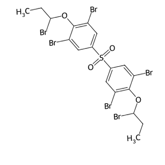 CCC(Br)Oc1c(Br)cc(S(=O)(=O)c2cc(Br)c(OC(Br)CC)c(Br)c2)cc1Br